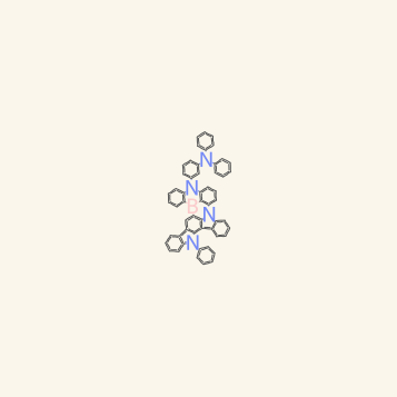 c1ccc(N(c2ccccc2)c2cccc(N3c4ccccc4B4c5c3cccc5-n3c5ccccc5c5c3c4cc3c4ccccc4n(-c4ccccc4)c35)c2)cc1